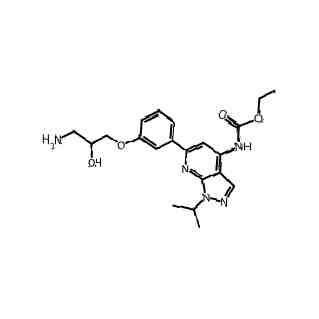 CCOC(=O)Nc1cc(-c2cccc(OCC(O)CN)c2)nc2c1cnn2C(C)C